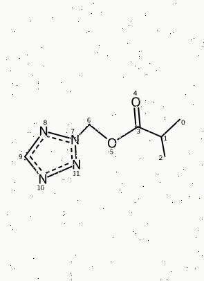 CC(C)C(=O)OCn1n[c]nn1